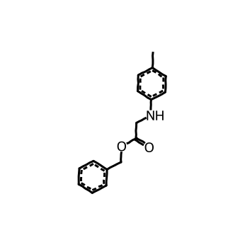 Cc1ccc(NCC(=O)OCc2ccccc2)cc1